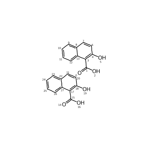 O=C(O)c1c(O)ccc2ccccc12.O=C(O)c1c(O)ccc2ccccc12